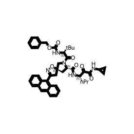 CCC[C@H](NC(=O)[C@@H]1C[C@]2(CC(c3c4ccccc4cc4ccccc34)=NO2)CN1C(=O)[C@@H](NC(=O)OCc1ccccc1)C(C)(C)C)C(=O)C(=O)NC1CC1